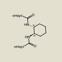 CCCCCCCC(=O)N[C@@H]1CCCC[C@H]1NC(=O)CCCCCCC